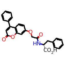 O=C(COc1ccc2c(-c3ccccc3)cc(=O)oc2c1)N[C@H](Cc1ccccc1)C(=O)O